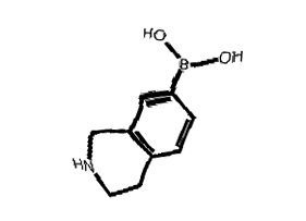 OB(O)c1ccc2c(c1)CNCC2